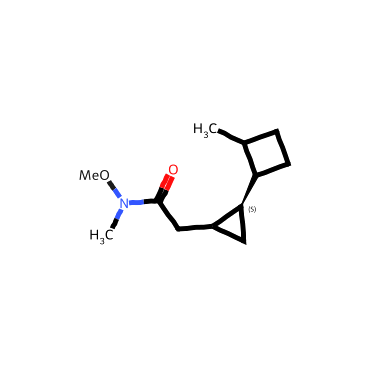 CON(C)C(=O)CC1C[C@@H]1C1CCC1C